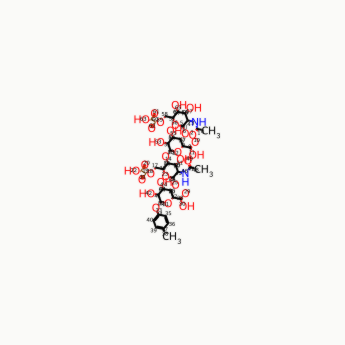 CC(=O)NC1[C@@H](O[C@@H]2C(C(=O)O)O[C@@H](O[C@@H]3C(COS(=O)(=O)O)O[C@@H](O[C@@H]4C(C(=O)O)O[C@@H](Oc5ccc(C)cc5)C(O)[C@H]4O)C(NC(C)=O)[C@H]3O)C(O)[C@H]2O)OC(COS(=O)(=O)O)[C@@H](O)[C@@H]1O